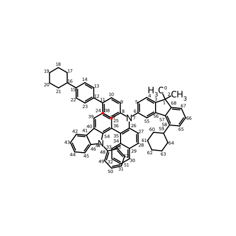 CC1(C)c2ccc(N(c3ccc(-c4ccc(C5CCCCC5)cc4)cc3)c3ccc4ccccc4c3-c3cccc4c5ccccc5n(-c5ccccc5)c34)cc2-c2c(C3CCCCC3)cccc21